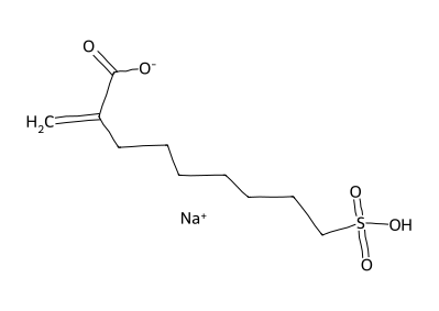 C=C(CCCCCCCS(=O)(=O)O)C(=O)[O-].[Na+]